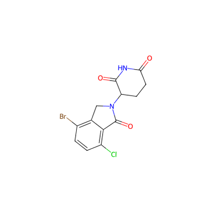 O=C1CCC(N2Cc3c(Br)ccc(Cl)c3C2=O)C(=O)N1